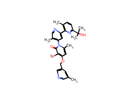 Cc1cncc(COc2cc(C)n(-c3cc(-c4nc(C(C)(C)O)ccc4C)ncc3C)c(=O)c2Br)c1